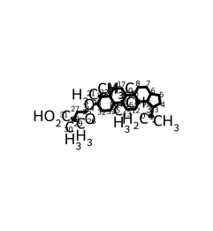 C=C(C)C1CCC2CC[C@]3(C)C(CCC4C3(C)CCC3C(C)(C)C(OC(=O)CC(C)(C)C(=O)O)CC[C@@]34C)C21